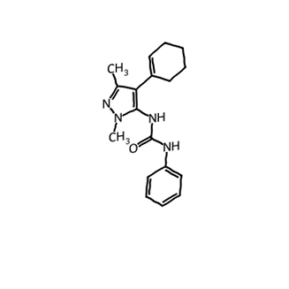 Cc1nn(C)c(NC(=O)Nc2ccccc2)c1C1=CCCCC1